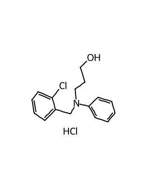 Cl.OCCCN(Cc1ccccc1Cl)c1ccccc1